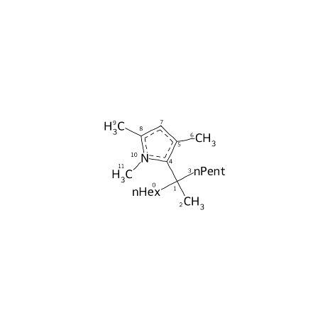 CCCCCCC(C)(CCCCC)c1c(C)cc(C)n1C